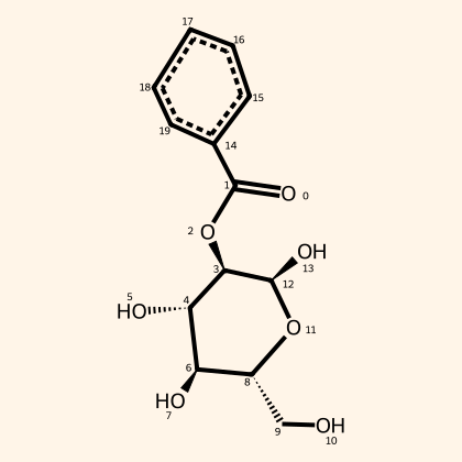 O=C(O[C@@H]1[C@@H](O)[C@H](O)[C@@H](CO)O[C@@H]1O)c1ccccc1